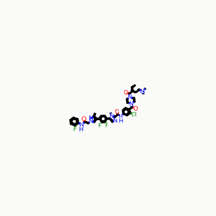 CCC(CCN(C)C)C(=O)N1CCN(C(=O)c2ccc(NC(=O)c3ncc(-c4ccc(-c5cn(CC(=O)Nc6ccccc6F)nc5C)c(F)c4F)n3C)cc2Cl)CC1